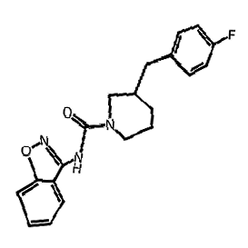 O=C(Nc1noc2ccccc12)N1CCCC(Cc2ccc(F)cc2)C1